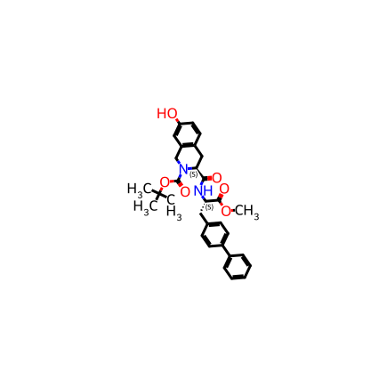 COC(=O)[C@H](Cc1ccc(-c2ccccc2)cc1)NC(=O)[C@@H]1Cc2ccc(O)cc2CN1C(=O)OC(C)(C)C